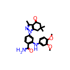 COc1ccc(Nc2cc(-n3nc(C)c4c3CC(C)(C)CC4=O)ccc2C(N)=O)cc1OC